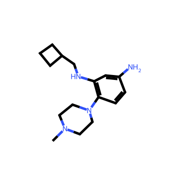 CN1CCN(c2ccc(N)cc2NCC2CCC2)CC1